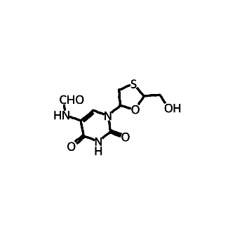 O=CNc1cn(C2CSC(CO)O2)c(=O)[nH]c1=O